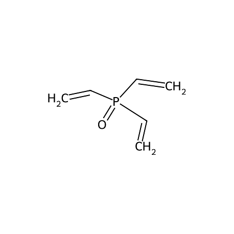 C=CP(=O)(C=C)C=C